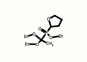 CCOC(C)(OCC)P(=O)(OCC)C1CCCO1